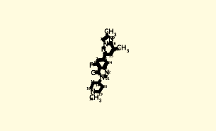 Cc1cn2nc(-c3cc(F)c4c(=O)n(C5CCN(C)CC5)cnc4c3)cc(C)c2n1